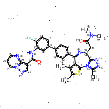 Cc1sc2c(c1C)C(c1ccc(-c3ccc(F)c(NC(=O)c4cnn5cccnc45)c3)cc1)=N[C@@H](CC(=O)N(C)C)c1nnc(C)n1-2